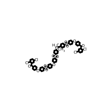 CC(C)(Oc1ccc(S(=O)(=O)c2ccc(Oc3ccc(S(=O)(=O)c4ccc(Oc5ccc(C(=O)c6cc(Cl)ccc6Cl)cc5)cc4)cc3)cc2)cc1)c1ccc(S(=O)(=O)c2ccc(Oc3ccc(C(=O)c4cc(Cl)ccc4Cl)cc3)cc2)cc1